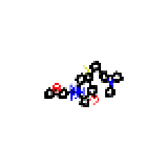 c1ccc(-c2nc(-c3ccc4c(c3)oc3ccccc34)nc(-c3cccc4oc5ccc(-c6ccc7sc8cccc(-c9ccc%10c(c9)c9ccccc9n%10-c9ccccc9)c8c7c6)cc5c34)n2)cc1